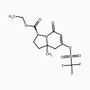 CCOC(=O)[C@@H]1CCC2(C)CC(OS(=O)(=O)C(F)(F)F)=CC(=O)N12